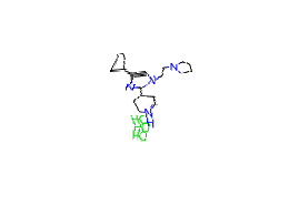 Cl.Cl.Cl.c1c(C2CCC2)nc(C2CCNCC2)n1CCN1CCCC1